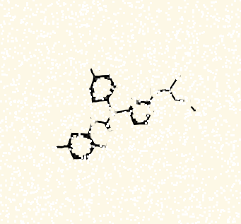 COCC(C)Nc1nccc(N(C(=O)Nc2cc(F)ccc2F)c2ccc(F)cc2)n1